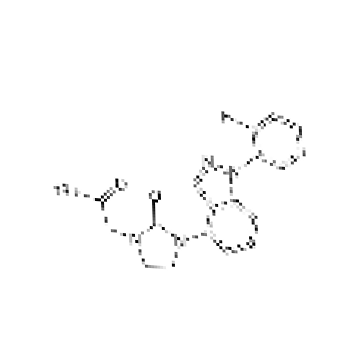 CC(C)(C)C(=O)CN1CCN(c2cccc3c2cnn3-c2ccccc2F)C1=O